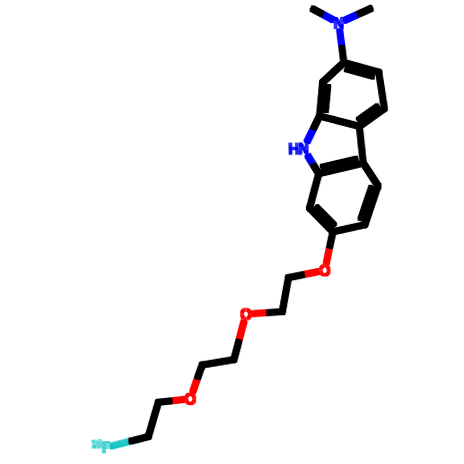 CN(C)c1ccc2c(c1)[nH]c1cc(OCCOCCOCC[18F])ccc12